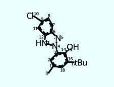 Cc1cc(N2[N]c3ccc(Cl)cc3N2)c(O)c(C(C)(C)C)c1